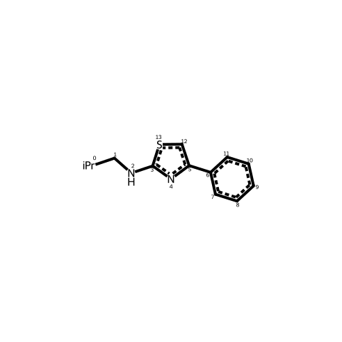 CC(C)CNc1nc(-c2ccccc2)cs1